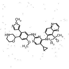 COc1cc(C2CNCCO2)c(-c2cnn(C)c2)cc1Nc1ncc(C2CC2)c(Nc2ccc3nccnc3c2P(C)(C)=O)n1